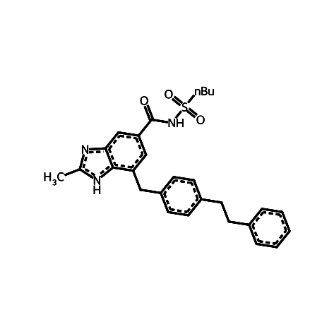 CCCCS(=O)(=O)NC(=O)c1cc(Cc2ccc(CCc3ccccc3)cc2)c2[nH]c(C)nc2c1